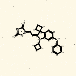 O=C1NC(=S)S/C1=C\C=C1\N(C2CCC2)c2cc(Sc3ccccc3)ccc2C12CCC2